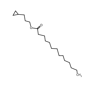 CCCCCCCCCCCCCC(=O)OCCCC1CC1